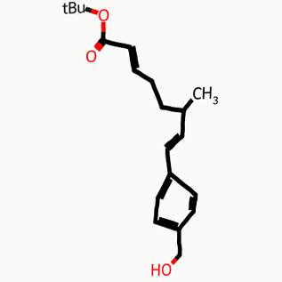 CC(/C=C/c1ccc(CO)cc1)CC/C=C/C(=O)OC(C)(C)C